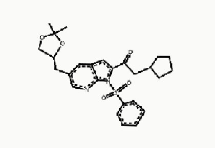 CC1(C)OCC(Cc2cnc3c(c2)cc(C(=O)CC2CCCC2)n3S(=O)(=O)c2ccccc2)O1